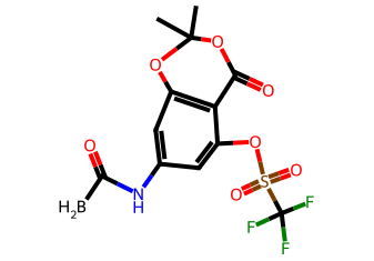 BC(=O)Nc1cc2c(c(OS(=O)(=O)C(F)(F)F)c1)C(=O)OC(C)(C)O2